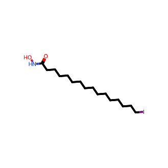 O=C(CCCCCCCCCCCCCCCI)NO